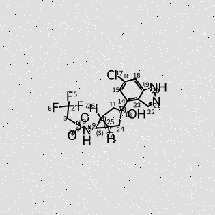 O=S(=O)(CC(F)(F)F)N[C@@H]1[C@@H]2C[C@@](O)(c3cc(Cl)cc4[nH]ncc34)C[C@@H]21